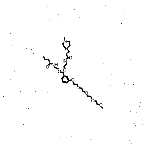 CCCC(=O)NCCOC(OCCNC(=O)CCN1CCN(C)CC1)c1cccc(OCCOCCOCCOCCOC)c1